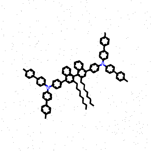 CCCCCCCCc1cc(-c2ccc(N(c3ccc(-c4ccc(C)cc4)cc3)c3ccc(-c4ccc(C)cc4)cc3)cc2)c2ccccc2c1-c1c(CCCCCCCC)cc(-c2ccc(N(c3ccc(-c4ccc(C)cc4)cc3)c3ccc(-c4ccc(C)cc4)cc3)cc2)c2ccccc12